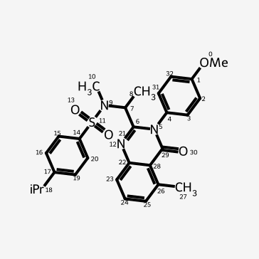 COc1ccc(-n2c(C(C)N(C)S(=O)(=O)c3ccc(C(C)C)cc3)nc3cccc(C)c3c2=O)cc1